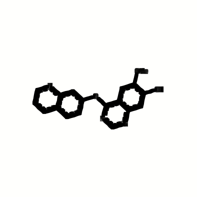 COc1cc2c(Oc3ccc4cccnc4c3)ncnc2cc1O